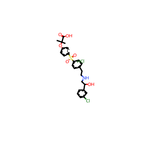 CC(C)(Oc1ccc(S(=O)(=O)c2ccc(CCNCC(O)c3cccc(Cl)c3)cc2)cc1)C(=O)O.Cl